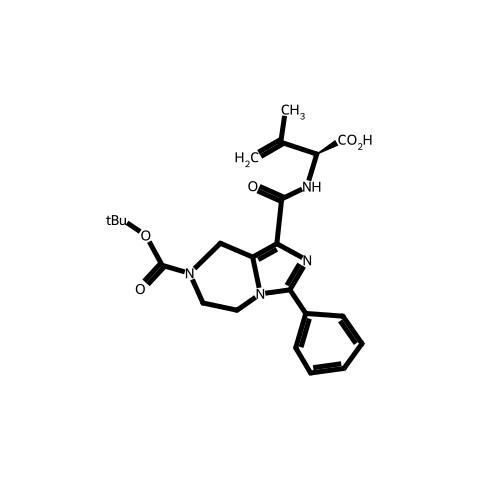 C=C(C)[C@H](NC(=O)c1nc(-c2ccccc2)n2c1CN(C(=O)OC(C)(C)C)CC2)C(=O)O